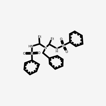 CCC(NS(=O)(=O)c1ccccc1)N(Cc1ccccc1)C(CC)NS(=O)(=O)c1ccccc1